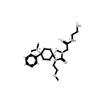 COCCN1C(=O)N(CC(=O)NCCO)C[C@]12CC[C@@](c1ccccc1)(N(C)C)CC2